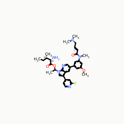 CC[C@H](C)[C@H](N)C(=O)OC(C)n1cc(-c2ccnc(F)c2)c2cc(-c3cc(OC)cc(N(C)C(=O)/C=C/CN(C)C)c3)cnc21